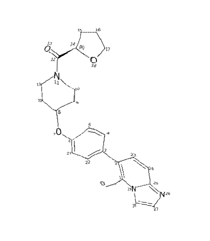 Cc1c(-c2ccc(OC3CCN(C(=O)[C@H]4CCCO4)CC3)cc2)ccc2nccn12